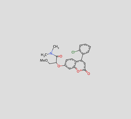 COCC(Oc1ccc2c(-c3ccccc3Cl)cc(=O)oc2c1)C(=O)N(C)C